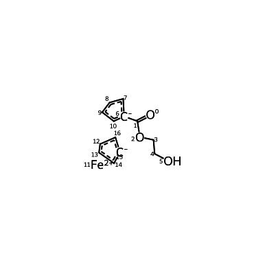 O=C(OCCO)[c-]1cccc1.[Fe+2].c1cc[cH-]c1